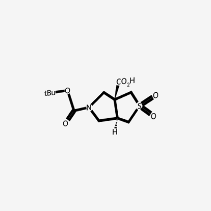 CC(C)(C)OC(=O)N1C[C@@H]2CS(=O)(=O)C[C@@]2(C(=O)O)C1